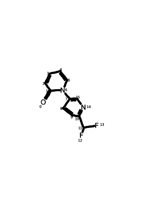 O=c1ccccn1-c1ccc(C(F)F)nc1